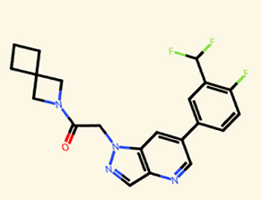 O=C(Cn1ncc2ncc(-c3ccc(F)c(C(F)F)c3)cc21)N1CC2(CCC2)C1